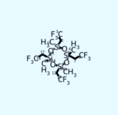 C[Si]1(CC(F)(F)F)O[Si](C)(CC(F)(F)F)O[Si](C)(CC(F)(F)F)O[Si](C)(CC(F)(F)F)O1